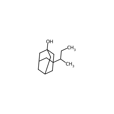 CCC(C)C12CC3CC(CC(O)(C3)C1)C2